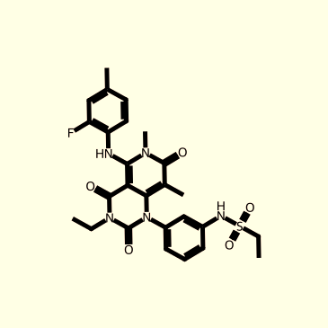 CCn1c(=O)c2c(Nc3ccc(C)cc3F)n(C)c(=O)c(C)c2n(-c2cccc(NS(=O)(=O)CC)c2)c1=O